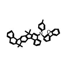 Cc1ccc(N(c2cc3c(c4ccccc24)-c2cc4c(cc2C3(C)C)-c2c(ccc3ccccc23)C4(C)C)c2cccc3c2oc2ccccc23)cc1